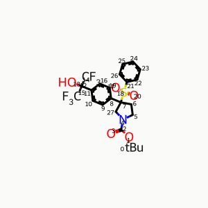 CC(C)(C)OC(=O)N1CCC(c2ccc(C(O)(C(F)(F)F)C(F)(F)F)cc2)(S(=O)(=O)c2ccccc2)C1